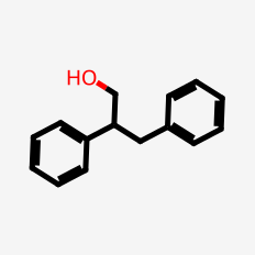 OCC(Cc1ccccc1)c1ccccc1